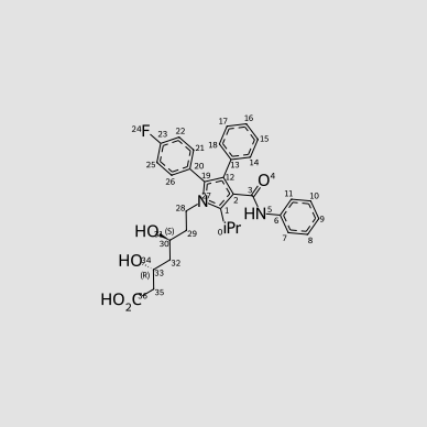 CC(C)c1c(C(=O)Nc2ccccc2)c(-c2ccccc2)c(-c2ccc(F)cc2)n1CC[C@H](O)C[C@@H](O)CC(=O)O